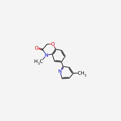 Cc1ccnc(-c2ccc3c(c2)N(C)C(=O)CO3)c1